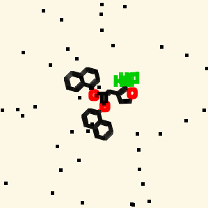 Cl.Cl.[CH](c1ccoc1)=[Ti]([O]c1cccc2ccccc12)[O]c1cccc2ccccc12